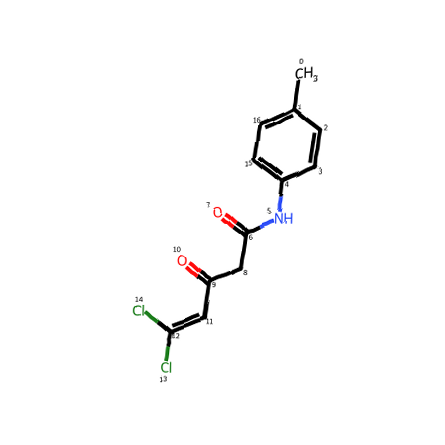 Cc1ccc(NC(=O)CC(=O)C=C(Cl)Cl)cc1